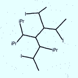 CC(C)C(C(C)C)C(C(C(C)C)C(C)I)C(C(C)I)C(C)I